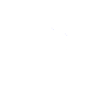 CC#CCOc1cc(C(C)c2ccccc2)ncn1